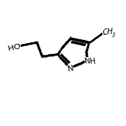 Cc1[c]c(CCO)n[nH]1